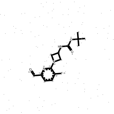 CC(C)(C)OC(=O)NC1CN(c2nc(C=O)ccc2F)C1